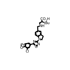 CC(C)Oc1ccc(-c2nc(N3CCc4cc(CNCC(C(=O)O)C(C)(C)C)ccc43)no2)cc1Cl